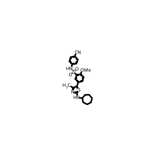 COc1ccc(-c2sc(NC3CCCCCC3)nc2C)cc1S(=O)(=O)Nc1ccc(C#N)cc1